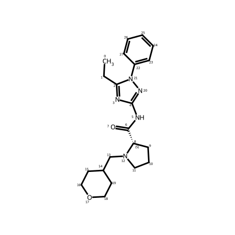 CCc1nc(NC(=O)[C@@H]2CCCN2CC2CCOCC2)nn1-c1ccccc1